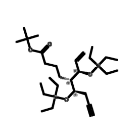 C#CC[C@@H](O[Si](CC)(CC)CC)[C@H](CCCC(=O)OC(C)(C)C)[C@@H](C=C)O[Si](CC)(CC)CC